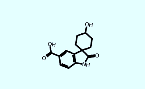 O=C(O)c1ccc2c(c1)C1(CCC(O)CC1)C(=O)N2